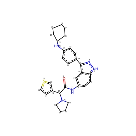 O=C(Nc1ccc2[nH]nc(-c3ccc(NC4CCCCC4)cc3)c2c1)C(c1ccsc1)N1CCCC1